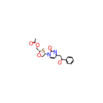 CC(=O)OC[C@@H]1OC[C@H](n2ccc(CC(=O)c3ccccc3)nc2=O)S1